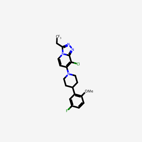 COc1ccc(F)cc1C1CCN(c2ccn3c(CC(F)(F)F)nnc3c2Cl)CC1